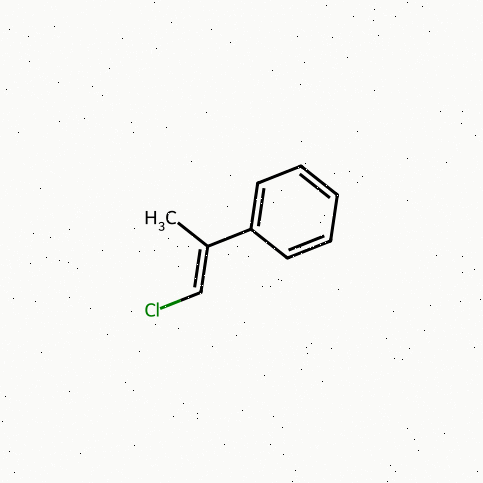 CC(=CCl)c1ccccc1